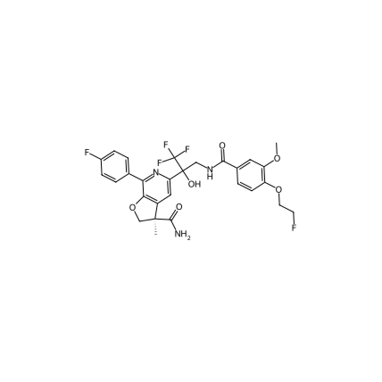 COc1cc(C(=O)NCC(O)(c2cc3c(c(-c4ccc(F)cc4)n2)OC[C@]3(C)C(N)=O)C(F)(F)F)ccc1OCCF